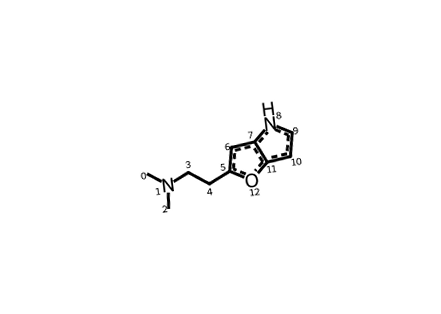 CN(C)CCc1cc2[nH]ccc2o1